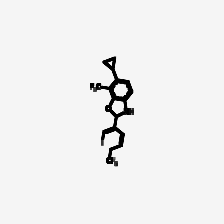 FC(F)(F)C/C=C\C(=C/I)C1Nc2ccc(C3CC3)c(C(F)(F)F)c2O1